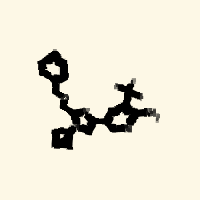 Nc1ncc(-c2cn(C34CC(C3)C4)c(COCc3ccccc3)n2)cc1C(F)(F)F